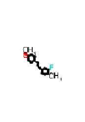 COc1ccc(/C=C/c2ccc(C)c(F)c2)cc1